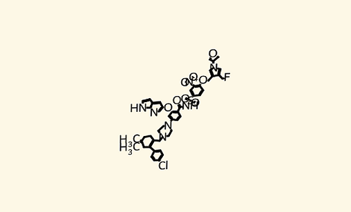 CC1(C)CCC(CN2CCN(c3ccc(C(=O)NS(=O)(=O)c4ccc(OCc5cn(C6COC6)cc5CF)c([N+](=O)[O-])c4)c(Oc4cnc5[nH]ccc5c4)c3)CC2)=C(c2ccc(Cl)cc2)C1